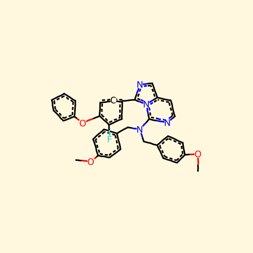 COc1ccc(CN(Cc2ccc(OC)cc2)c2nccc3cnc(-c4ccc(Oc5ccccc5)c(F)c4)n23)cc1